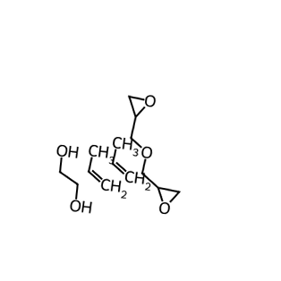 C(OCC1CO1)C1CO1.C=CC.C=CC.OCCO